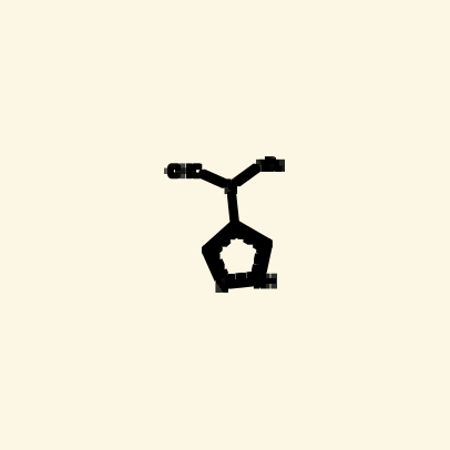 CCCCN([C]=O)c1cn[nH]c1